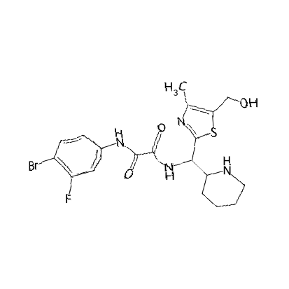 Cc1nc(C(NC(=O)C(=O)Nc2ccc(Br)c(F)c2)C2CCCCN2)sc1CO